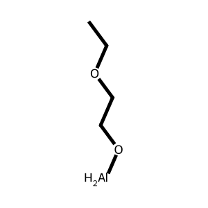 CCOCC[O][AlH2]